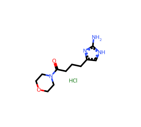 Cl.Nc1nc(CCCC(=O)N2CCOCC2)c[nH]1